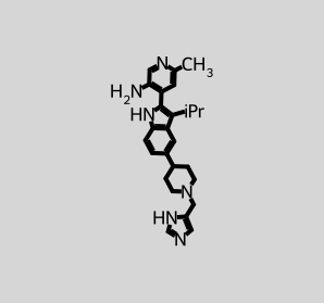 Cc1cc(-c2[nH]c3ccc(C4CCN(Cc5cnc[nH]5)CC4)cc3c2C(C)C)c(N)cn1